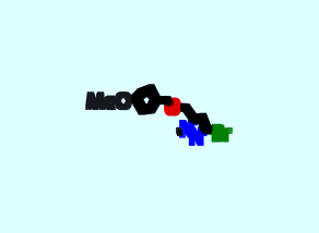 COc1ccc(COCc2cc(Br)nn2C)cc1